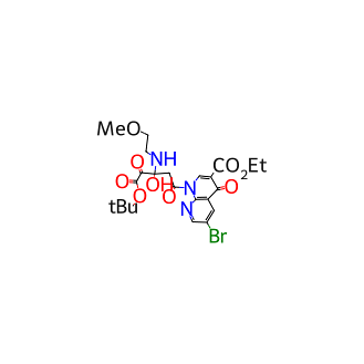 CCOC(=O)c1cn(C(=O)CC(O)(NCCOC)C(=O)C(=O)OC(C)(C)C)c2ncc(Br)cc2c1=O